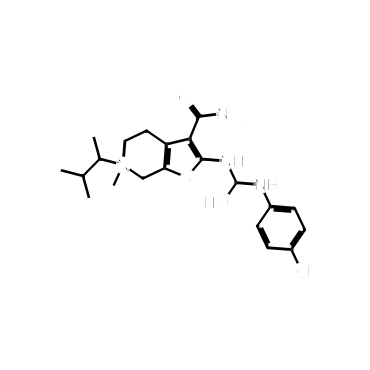 CC(C)C(C)[N+]1(C)CCc2c(sc(NC(O)Nc3ccc(Cl)cc3)c2C(N)=O)C1